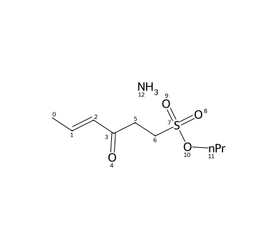 CC=CC(=O)CCS(=O)(=O)OCCC.N